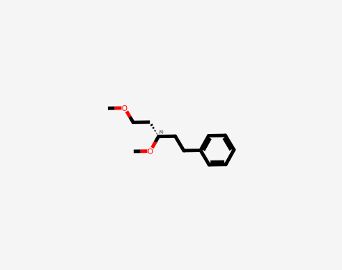 COCC[C@H](CCc1ccccc1)OC